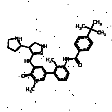 Cc1c(NC(=O)c2ccc(C(C)(C)C)cc2)cccc1-c1cc(NC2=NNCC2C2CCCN2)c(=O)n(C)c1